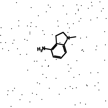 CN1CCc2c(N)cccc21